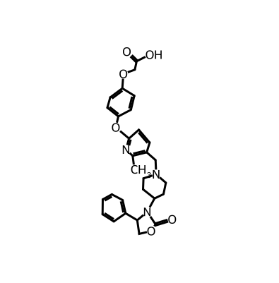 Cc1nc(Oc2ccc(OCC(=O)O)cc2)ccc1CN1CCC(N2C(=O)OCC2c2ccccc2)CC1